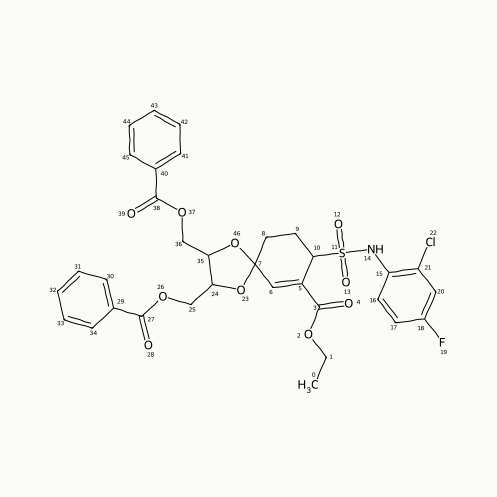 CCOC(=O)C1=CC2(CCC1S(=O)(=O)Nc1ccc(F)cc1Cl)OC(COC(=O)c1ccccc1)C(COC(=O)c1ccccc1)O2